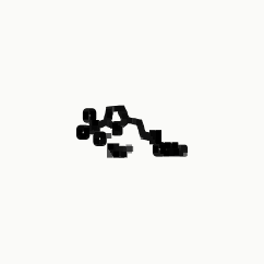 CON=CCc1ccc(S(=O)(=O)[O-])s1.[Na+]